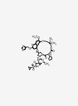 C=C[C@@H]1CC1(NC(=O)[C@@H]1C[C@@H]2CN1C(=O)[C@H](C1CCCC1)NC(=O)OCC(C)(C)CCCc1cc3c(cc(OCc4cscn4)nc3cc1OC)O2)C(=O)NS(=O)(=O)C1CC1